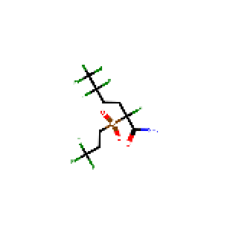 NC(=O)C(F)(CCC(F)(F)C(F)(F)F)S(=O)(=O)CCC(F)(F)F